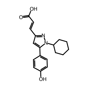 O=C(O)C=Cc1cc(-c2ccc(O)cc2)n(C2CCCCC2)n1